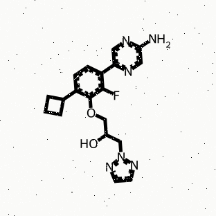 Nc1cnc(-c2ccc(C3CCC3)c(OCC(O)Cn3nccn3)c2F)cn1